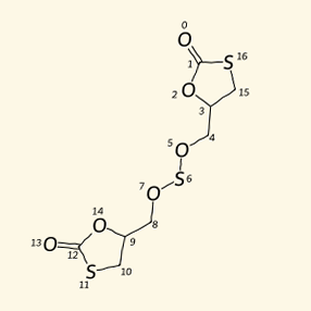 O=C1OC(COSOCC2CSC(=O)O2)CS1